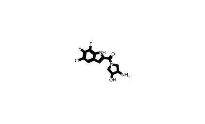 NC1CN(C(=O)c2cc3cc(Cl)c(F)c(F)c3[nH]2)CC1O